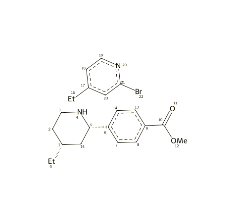 CC[C@@H]1CCN[C@H](c2ccc(C(=O)OC)cc2)C1.CCc1ccnc(Br)c1